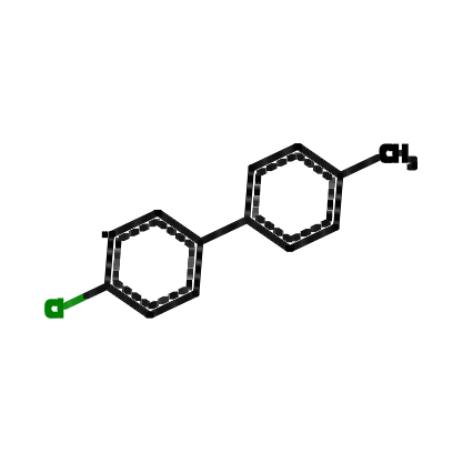 Cc1ccc(-c2c[c]c(Cl)cc2)cc1